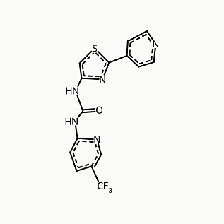 O=C(Nc1ccc(C(F)(F)F)cn1)Nc1csc(-c2ccncc2)n1